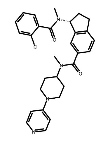 CN(C(=O)c1ccc2c(c1)[C@H](N(C)C(=O)c1ccccc1Cl)CC2)C1CCN(c2ccncc2)CC1